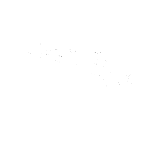 CS(=O)(=O)N1CCN(c2ccc(-c3cnc4ncc(C5(c6ccc7ncccc7c6)CC5)n4c3)cn2)CC1